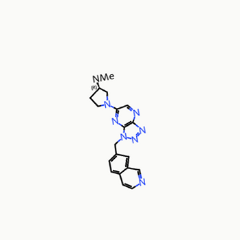 CN[C@@H]1CCN(c2cnc3nnn(Cc4ccc5ccncc5c4)c3n2)C1